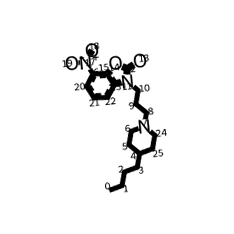 CCCCC1CCN(CCCn2c(=O)oc3c([N+](=O)[O-])cccc32)CC1